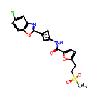 CS(=O)(=O)CCc1ccc(C(=O)NC23CC(c4nc5cc(Cl)ccc5o4)(C2)C3)o1